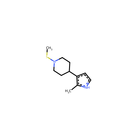 CSN1CCC(c2cc[nH]c2C)CC1